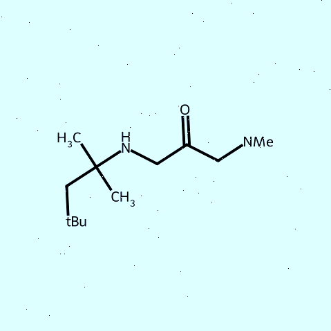 CNCC(=O)CNC(C)(C)CC(C)(C)C